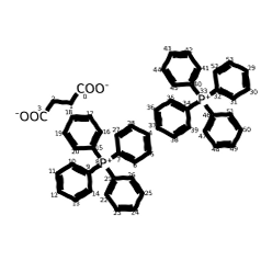 O=C([O-])CCC(=O)[O-].c1ccc([P+](c2ccccc2)(c2ccccc2)c2ccccc2)cc1.c1ccc([P+](c2ccccc2)(c2ccccc2)c2ccccc2)cc1